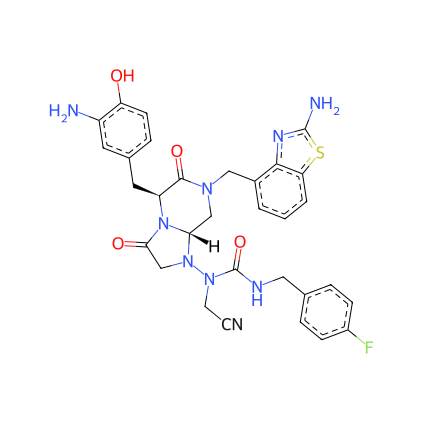 N#CCN(C(=O)NCc1ccc(F)cc1)N1CC(=O)N2[C@@H](Cc3ccc(O)c(N)c3)C(=O)N(Cc3cccc4sc(N)nc34)C[C@@H]21